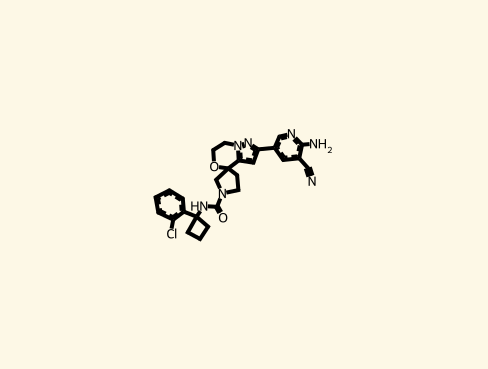 N#Cc1cc(-c2cc3n(n2)CCOC32CCN(C(=O)NC3(c4ccccc4Cl)CCC3)C2)cnc1N